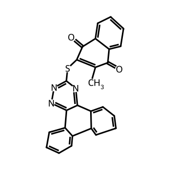 CC1=C(Sc2nnc3c4ccccc4c4ccccc4c3n2)C(=O)c2ccccc2C1=O